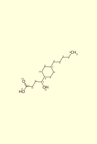 CCCCCC1CCC(C(O)CCC(=O)O)CC1